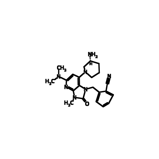 CN(C)c1cc(N2CCC[C@@H](N)C2)c2c(n1)n(C)c(=O)n2Cc1ccccc1C#N